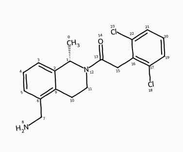 C[C@H]1c2cccc(CN)c2CCN1C(=O)Cc1c(Cl)cccc1Cl